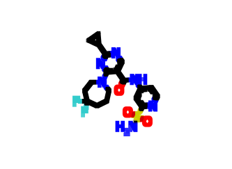 NS(=O)(=O)c1cc(NC(=O)c2cnc(C3CC3)nc2N2CCCC(F)(F)CC2)ccn1